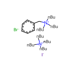 CCCC[N+](CCCC)(CCCC)CCCC.CCCC[N+](CCCC)(CCCC)Cc1ccccc1.[Br-].[I-]